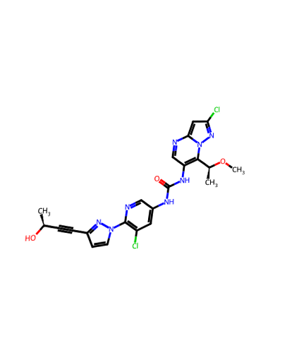 CO[C@@H](C)c1c(NC(=O)Nc2cnc(-n3ccc(C#C[C@H](C)O)n3)c(Cl)c2)cnc2cc(Cl)nn12